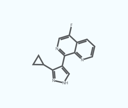 Fc1cnc(-c2c[nH]nc2C2CC2)c2ncccc12